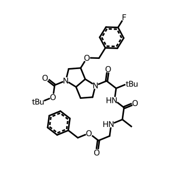 CC(NCC(=O)OCc1ccccc1)C(=O)NC(C(=O)N1CCC2C1C(OCc1ccc(F)cc1)CN2C(=O)OC(C)(C)C)C(C)(C)C